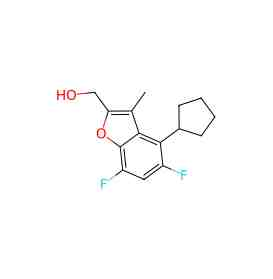 Cc1c(CO)oc2c(F)cc(F)c(C3CCCC3)c12